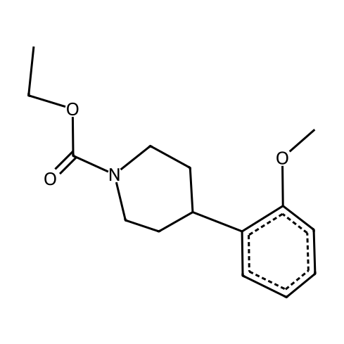 CCOC(=O)N1CCC(c2ccccc2OC)CC1